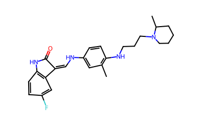 Cc1cc(NC=C2C(=O)Nc3ccc(F)cc32)ccc1NCCCN1CCCCC1C